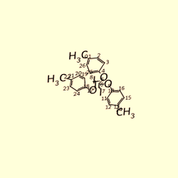 Cc1ccc([O][Ti]([I])([I])([O]c2ccc(C)cc2)[O]c2ccc(C)cc2)cc1